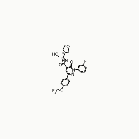 O=C(N[C@H](CO)[C@H]1CCOC1)c1cc(-c2ccc(OC(F)(F)F)cc2)nn(-c2cccc(F)c2)c1=O